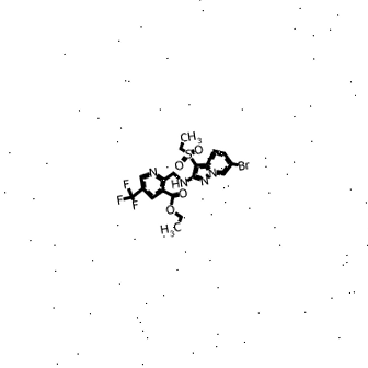 CCOC(=O)c1cc(C(F)(F)F)cnc1CNc1nn2cc(Br)ccc2c1S(=O)(=O)CC